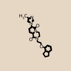 Cc1cn(-c2ccc3n(c2=O)CCN(CCOc2cccc4c2CCC4)C3=O)cn1